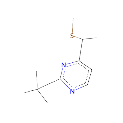 CSC(C)c1ccnc(C(C)(C)C)n1